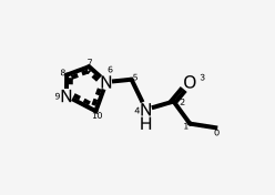 CCC(=O)NCn1ccnc1